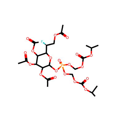 CC(=O)OC[C@H](F)C1OC(OP(=O)(OCOC(=O)OC(C)C)OCOC(=O)OC(C)C)C(OC(C)=O)C(OC(C)=O)C1OC(C)=O